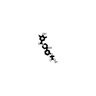 CC(C)OC(=O)C(C)(C)Oc1cccc(C2(O)CCN(C(=O)c3cc(I)c(O)c(I)c3)CC2)c1